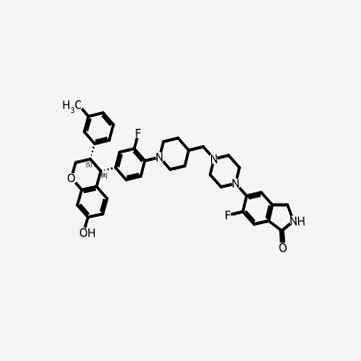 Cc1cccc([C@H]2COc3cc(O)ccc3[C@H]2c2ccc(N3CCC(CN4CCN(c5cc6c(cc5F)C(=O)NC6)CC4)CC3)c(F)c2)c1